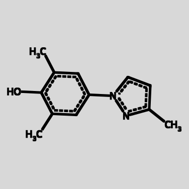 Cc1ccn(-c2cc(C)c(O)c(C)c2)n1